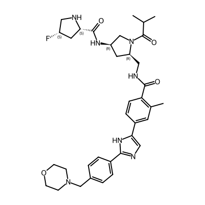 Cc1cc(-c2cnc(-c3ccc(CN4CCOCC4)cc3)[nH]2)ccc1C(=O)NC[C@H]1C[C@@H](NC(=O)[C@@H]2C[C@H](F)CN2)CN1C(=O)C(C)C